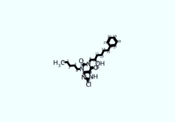 CCCCCn1c(=O)n(CC(O)CCCCc2ccccc2)c(=O)c2[nH]c(Cl)nc21